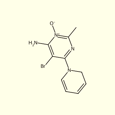 Cc1nc(N2C=CC=CC2)c(Br)c(N)[n+]1[O-]